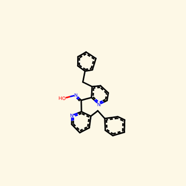 ON=C(c1ncccc1Cc1ccccc1)c1ncccc1Cc1ccccc1